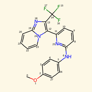 COc1ccc(Nc2cccc(-c3c(C(F)(F)F)nc4ccccn34)n2)cc1